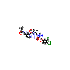 C=C(CCNC(=O)COc1ccc(Cl)c(F)c1)NC(=O)c1cc(CNC(=O)C2CC2)ccn1